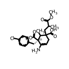 COC(=O)C(C)CC1(C(=O)O)CC=C(N)[C@@](Cc2ccc(Cl)cc2)(C(=O)O)C1C